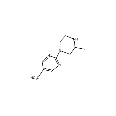 CC1CN(c2ncc(C(=O)O)cn2)CCN1